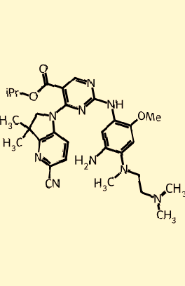 COc1cc(N(C)CCN(C)C)c(N)cc1Nc1ncc(C(=O)OC(C)C)c(N2CC(C)(C)c3nc(C#N)ccc32)n1